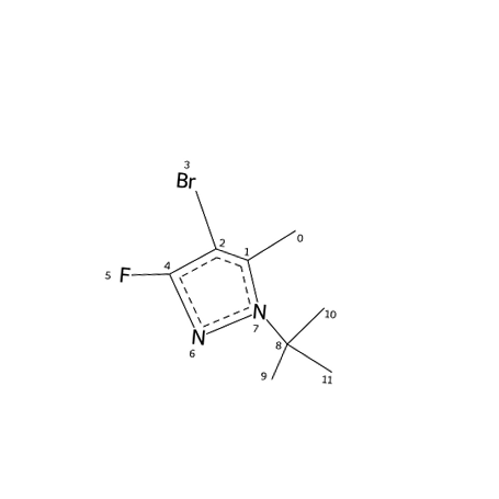 Cc1c(Br)c(F)nn1C(C)(C)C